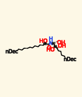 CCCCCCCCCCCCCCCCCCCC[C@@H](O)C(=O)N[C@H](CO)[C@H](O)C(O)CCCCCCCCCCCCCC